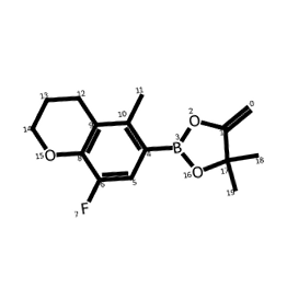 C=C1OB(c2cc(F)c3c(c2C)CCCO3)OC1(C)C